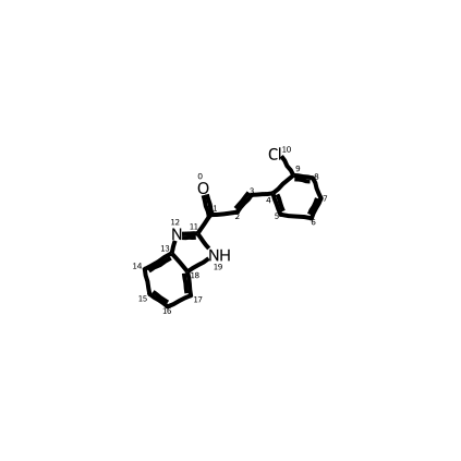 O=C(C=Cc1ccccc1Cl)c1nc2ccccc2[nH]1